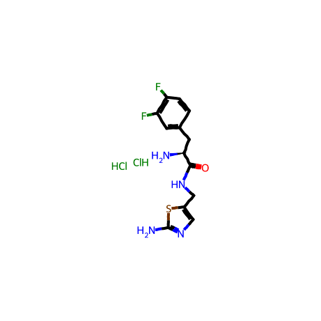 Cl.Cl.Nc1ncc(CNC(=O)[C@@H](N)Cc2ccc(F)c(F)c2)s1